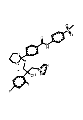 C[C@H](SC1(c2ccc(C(=O)Nc3ccc(S(C)(=O)=O)cc3)cc2)OCCCO1)C(O)(Cn1cncn1)c1ccc(F)cc1F